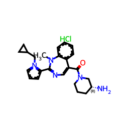 CN1C(c2cccn2CC2CC2)=NC=C(C(=O)N2CCC[C@@H](N)C2)c2ccccc21.Cl